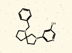 Oc1cncc(N2CCC3(CCCN3Cc3ccccc3)C2)c1